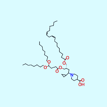 CCCCC/C=C\C/C=C\CCCCCCCC(=O)OC[C@@H](COC(=O)CCC(OCCCCCCCC)OCCCCCCCC)CC(C1CC1)N1CCC(C(=O)O)CC1